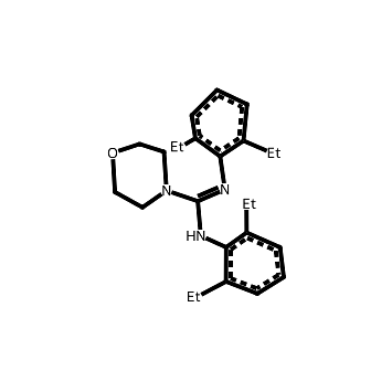 CCc1cccc(CC)c1/N=C(/Nc1c(CC)cccc1CC)N1CCOCC1